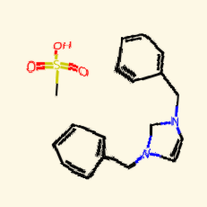 C1=CN(Cc2ccccc2)CN1Cc1ccccc1.CS(=O)(=O)O